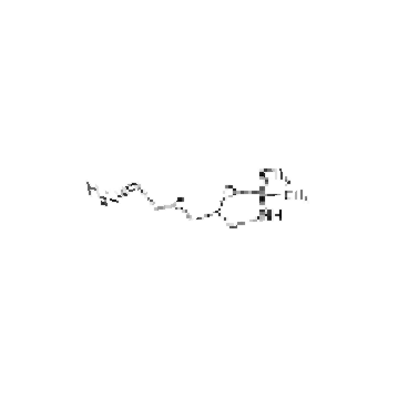 C=CCOCC1CNC(C)(C)O1